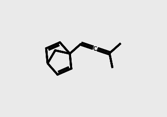 CC(C)=C=CC12C=CC(C=C1)C2